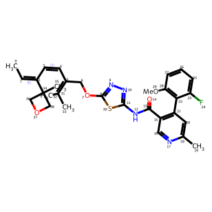 C/C=C(\C=C/C(COc1nnc(NC(=O)c2cnc(C)cc2-c2c(F)cccc2OC)s1)=C(C)C)C1(C)COC1